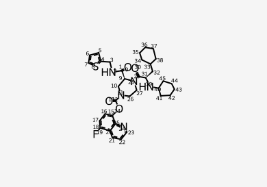 O=C(NCc1cccs1)[C@@H]1CN(C(=O)Oc2ccc(F)c3cccnc23)CCN1C(=O)[C@@H](CC1CCCCC1)NC1CCCCC1